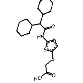 O=C(O)CSc1cnc(NC(=O)C(C2CCCCC2)C2CCCCC2)s1